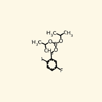 CC(C)OB(OCc1cc(F)ccc1I)OC(C)C